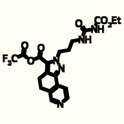 CCOC(=O)NC(=O)NCCCn1nc2c(c1C(=O)OC(=O)C(F)(F)F)CCc1cnccc1-2